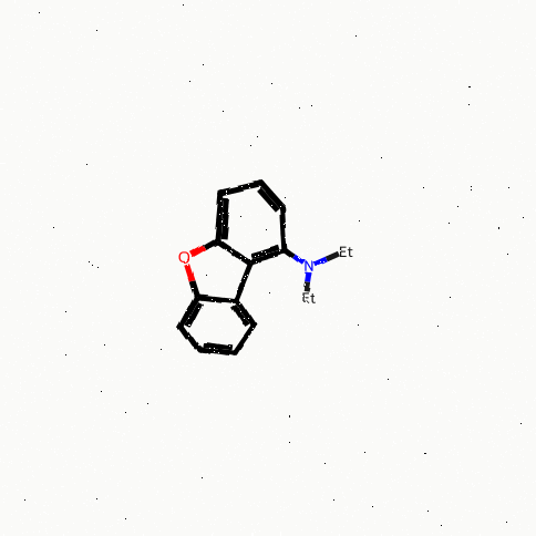 CCN(CC)c1cccc2oc3ccccc3c12